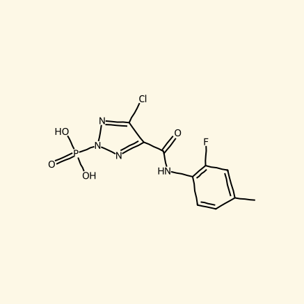 Cc1ccc(NC(=O)c2nn(P(=O)(O)O)nc2Cl)c(F)c1